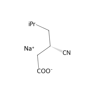 CC(C)C[C@H](C#N)CC(=O)[O-].[Na+]